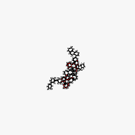 CC1(C)c2ccccc2-c2cc(N(c3ccc(-c4cccc5c4ccc4ccccc45)cc3)c3ccccc3-c3ccccc3-c3ccccc3-c3cccc(CC4(C)c5ccccc5C5(c6ccccc6-c6cc(N(c7ccc(-c8cccc(-c9ccccc9)c8)cc7)c7ccccc7-c7ccccc7-c7ccccc7-c7ccccc7)ccc65)c5ccccc54)c3)ccc21